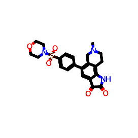 CN1CCc2c(c(-c3ccc(S(=O)(=O)N4CCOCC4)cc3)cc3c2NC(=O)C3=O)C1